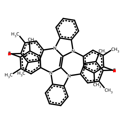 Cc1cc(N2C(=C3N(c4cc(C)c(F)c(C)c4)c4ccccc4N3c3cc(C)c(F)c(C)c3)N(c3cc(C)c(F)c(C)c3)c3ccccc32)cc(C)c1F